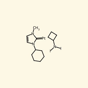 Cn1ccn(C2CCCCC2)[c]1=[Pt].IN(I)C1CCC1